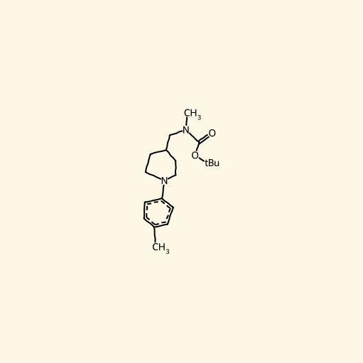 Cc1ccc(N2CCC(CN(C)C(=O)OC(C)(C)C)CC2)cc1